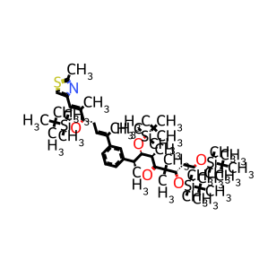 C/C(=C\C[C@H](O[Si](C)(C)C(C)(C)C)/C(C)=C/c1csc(C)n1)c1cccc([C@H](C)[C@H](O[Si](C)(C)C(C)(C)C)[C@@H](C)C(=O)C(C)(C)[C@H](CCO[Si](C)(C)C(C)(C)C)O[Si](C)(C)C(C)(C)C)c1